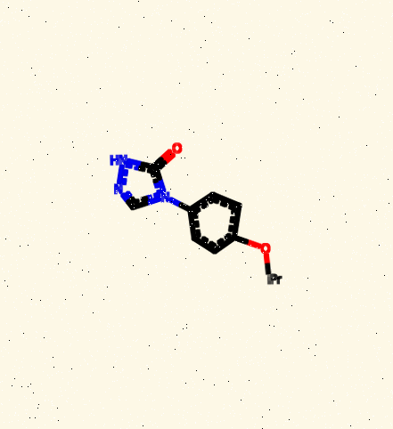 CC(C)Oc1ccc(-n2cn[nH]c2=O)cc1